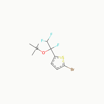 C[Si](C)(C)OC(F)(c1ccc(Br)s1)C(F)F